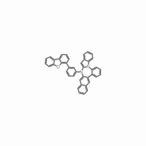 c1cc(-c2cccc3c2oc2ccccc23)cc(N2c3cc4ccccc4cc3-c3ccccc3-n3c2cc2ccccc23)c1